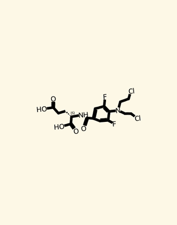 O=C(O)CC[C@H](NC(=O)c1cc(F)c(N(CCCl)CCCl)c(F)c1)C(=O)O